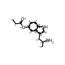 CCC(=O)Oc1ccc2[nH]cc(CC(C)N)c2c1